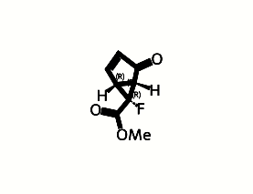 COC(=O)[C@@]1(F)[C@@H]2C=CC(=O)[C@@H]21